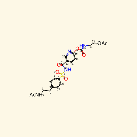 CC(=O)NCCc1ccc(S(=O)(=O)NC(=O)c2ccc(OC(=O)NCCOC(C)=O)nc2)cc1